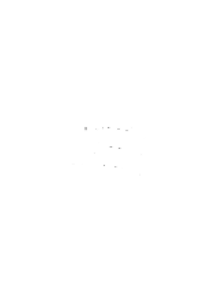 CCCCCCC.CCOC(C)=O.CCOC(C)=O